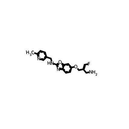 Cc1ccc(CNc2nc3ccc(OCC(=CF)CN)cc3o2)cn1